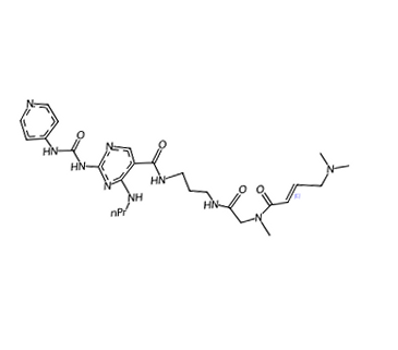 CCCNc1nc(NC(=O)Nc2ccncc2)ncc1C(=O)NCCCNC(=O)CN(C)C(=O)/C=C/CN(C)C